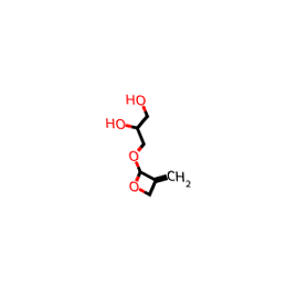 C=C1COC1OCC(O)CO